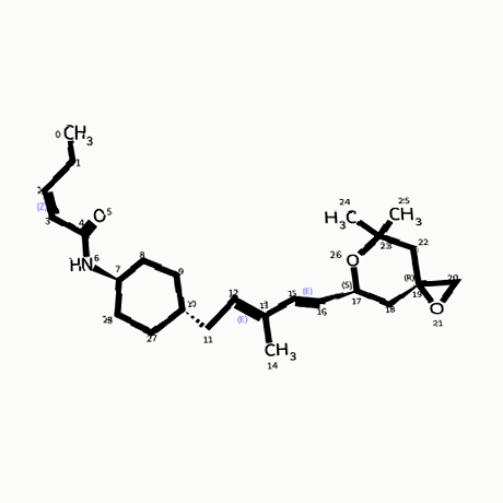 C[CH]/C=C\C(=O)N[C@H]1CC[C@H](C/C=C(C)/C=C/[C@@H]2C[C@]3(CO3)CC(C)(C)O2)CC1